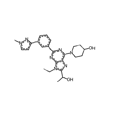 CCn1c(C(C)O)nc2c(N3CCC(O)CC3)nc(-c3cccc(-c4ccn(C)n4)c3)nc21